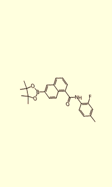 Cc1ccc(NC(=O)c2cccc3cc(B4OC(C)(C)C(C)(C)O4)ccc23)c(F)c1